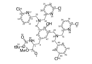 COC(=O)C(Cc1cc(CN(Cc2cccc(Cl)n2)Cc2cccc(Cl)n2)c(O)c(CN(Cc2cccc(Cl)n2)Cc2cccc(Cl)n2)c1)NC(=O)OC(C)(C)C